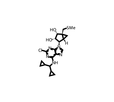 CSC[C@@]12C[C@@H]1[C@@H](n1cnc3c(NC(C4CC4)C4CC4)nc(Cl)nc31)[C@H](O)[C@@H]2O